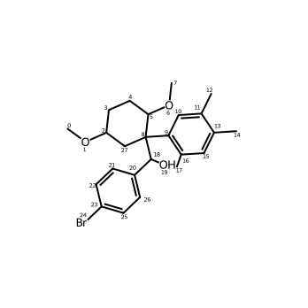 COC1CCC(OC)C(c2cc(C)c(C)cc2C)(C(O)c2ccc(Br)cc2)C1